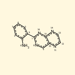 Nc1ccccc1-c1ncc2nccnc2n1